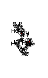 CC[C@H]1OC(=O)[C@H](C)[C@@H](OC2C[C@](C)(OC)[C@H](C)[C@@H](C)O2)[C@H](C)[C@@H](O[C@@H]2O[C@H](C)C[C@@H](N(C)C)[C@H]2O)[C@@](O)(CC)CCCN(CCCNC(=O)[C@@]2(O)[C@H](C)CC3C4C[C@H](F)C5=CC(=O)C=C[C@]5(C)C4[C@@H](O)C[C@@]32C)[C@H](C)[C@@H](O)[C@]1(C)O